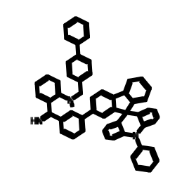 CN(Cc1ccc(-c2ccccc2)cc1)c1ccccc1C(=N)c1cccc(-c2ccc3c(c2)C2(c4ccccc4-3)c3ccccc3N(c3ccccc3)c3ccccc32)c1